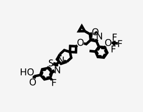 Cc1cccc(OC(F)(F)F)c1-c1noc(C2CC2)c1COC1CC2(C1)CC1CCC(C2)N1c1nc2c(F)cc(C(=O)O)cc2s1